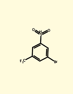 O=[SH](=O)c1cc(Br)cc(C(F)(F)F)c1